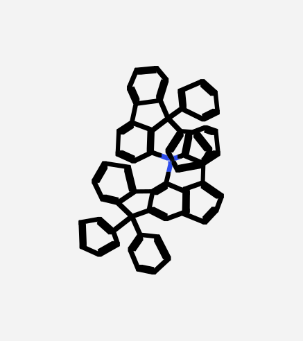 c1ccc(-c2ccccc2N(c2cccc3c2-c2ccccc2C3(c2ccccc2)c2ccccc2)c2cccc3c2C(c2ccccc2)(c2ccccc2)c2ccccc2-3)cc1